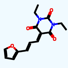 CCN1C(=O)C(=C/C=C/c2ccco2)C(=O)N(CC)C1=O